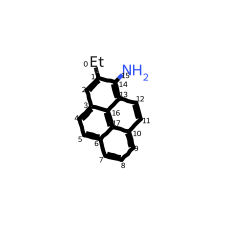 CCc1cc2ccc3cccc4ccc(c1N)c2c34